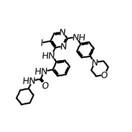 O=C(Nc1ccccc1Nc1nc(Nc2ccc(N3CCOCC3)cc2)ncc1I)NC1CCCCC1